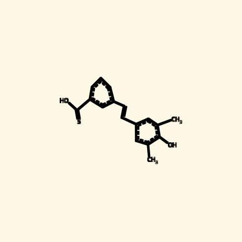 Cc1cc(C=Cc2cccc(C(O)=S)c2)cc(C)c1O